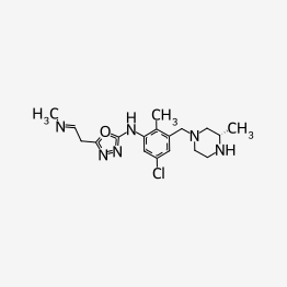 C/N=C/Cc1nnc(Nc2cc(Cl)cc(CN3CCN[C@@H](C)C3)c2C)o1